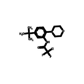 CC(C)(C)c1ccc(N2CCOCC2)c(NC(=O)C(F)(F)Cl)c1